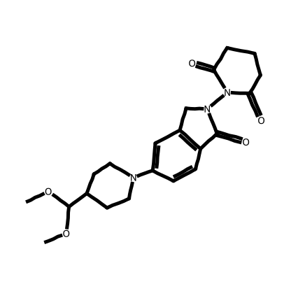 COC(OC)C1CCN(c2ccc3c(c2)CN(N2C(=O)CCCC2=O)C3=O)CC1